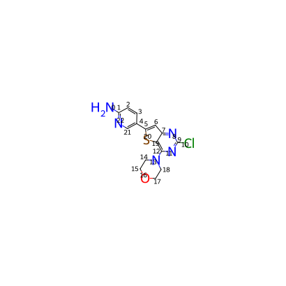 Nc1ccc(-c2cc3nc(Cl)nc(N4CCOCC4)c3s2)cn1